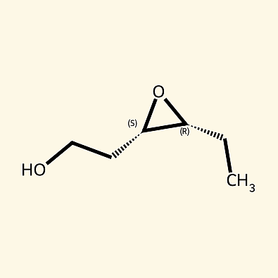 CC[C@H]1O[C@H]1CCO